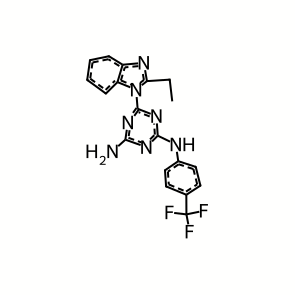 CCc1nc2ccccc2n1-c1nc(N)nc(Nc2ccc(C(F)(F)F)cc2)n1